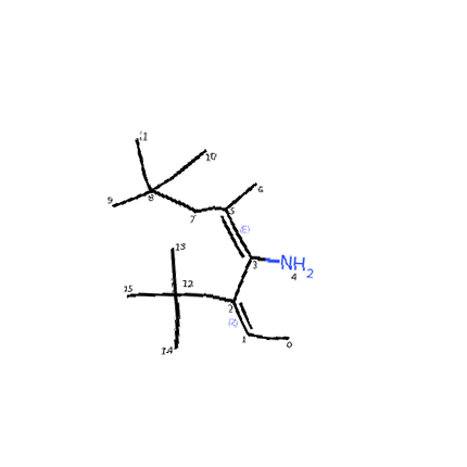 C/C=C(\C(N)=C(\C)CC(C)(C)C)C(C)(C)C